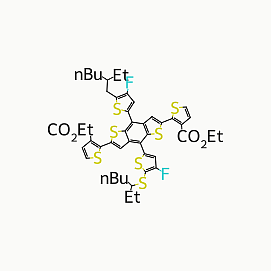 CCCCC(CC)Cc1sc(-c2c3cc(-c4sccc4C(=O)OCC)sc3c(-c3cc(F)c(SC(CC)CCCC)s3)c3cc(-c4sccc4C(=O)OCC)sc23)cc1F